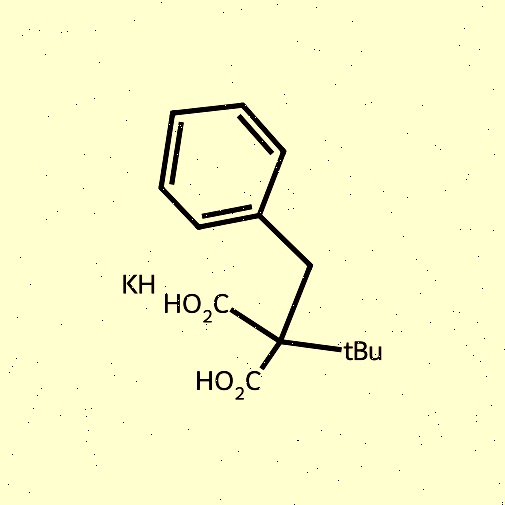 CC(C)(C)C(Cc1ccccc1)(C(=O)O)C(=O)O.[KH]